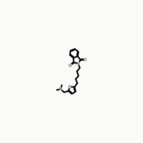 CN(C)Cc1ccc(CCCCCN2C(=O)c3ccccc3C2=O)o1